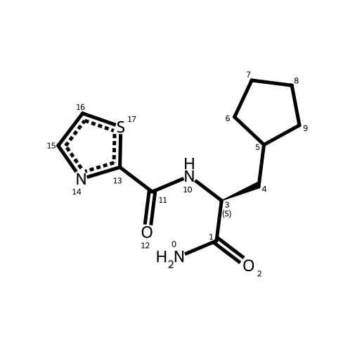 NC(=O)[C@H](CC1CCCC1)NC(=O)c1nccs1